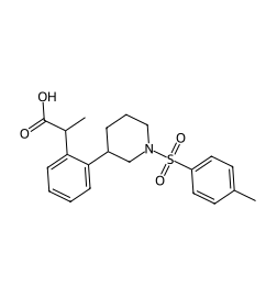 Cc1ccc(S(=O)(=O)N2CCCC(c3ccccc3C(C)C(=O)O)C2)cc1